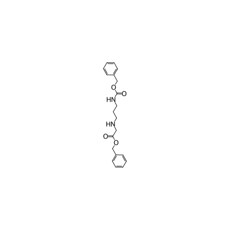 O=C(CNCCCNC(=O)OCc1ccccc1)OCc1ccccc1